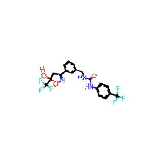 O=C(NCc1cccc(C2=NOC(O)(C(F)(F)F)C2)c1)Nc1ccc(C(F)(F)F)cc1